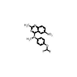 Cc1nc(N(C)c2ccc(OC(F)F)cc2)c2cc([N+](=O)[O-])ccc2n1